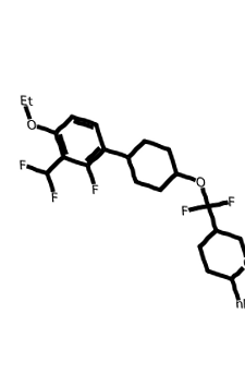 CCCC1CCC(C(F)(F)OC2CCC(c3ccc(OCC)c(C(F)F)c3F)CC2)CO1